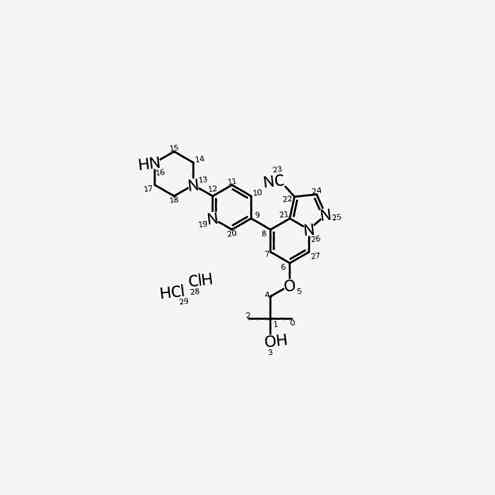 CC(C)(O)COc1cc(-c2ccc(N3CCNCC3)nc2)c2c(C#N)cnn2c1.Cl.Cl